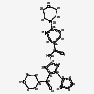 O=C(Nc1nc(-c2ccco2)c(C(=O)C2CCOCC2)s1)c1ccc(N2CCOCC2)nc1